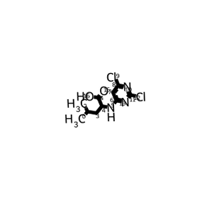 CC(C)CC(Nc1cc(Cl)nc(Cl)n1)C(=O)O